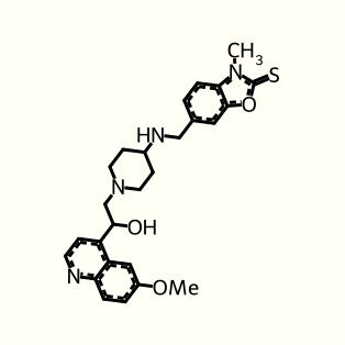 COc1ccc2nccc(C(O)CN3CCC(NCc4ccc5c(c4)oc(=S)n5C)CC3)c2c1